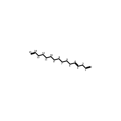 C=CCC=CCCCCCCCCCC=C